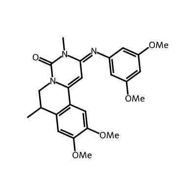 COc1cc(N=c2cc3n(c(=O)n2C)CC(C)c2cc(OC)c(OC)cc2-3)cc(OC)c1